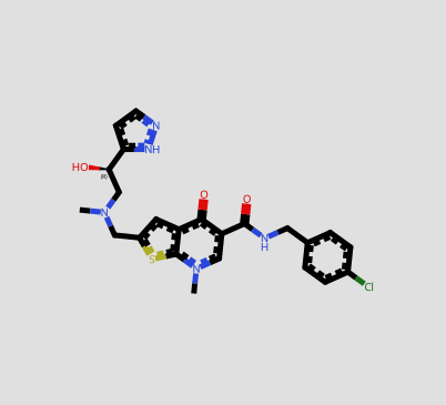 CN(Cc1cc2c(=O)c(C(=O)NCc3ccc(Cl)cc3)cn(C)c2s1)C[C@@H](O)c1ccn[nH]1